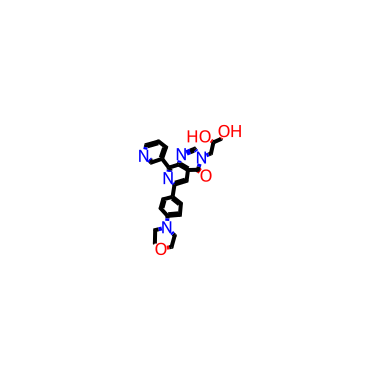 O=c1c2cc(-c3ccc(N4CCOCC4)cc3)nc(-c3cccnc3)c2ncn1CC(O)CO